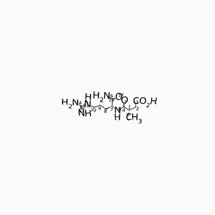 C[C@@H](CC(=O)O)C(=O)N[C@@H](CCCNC(=N)N)C(N)=O